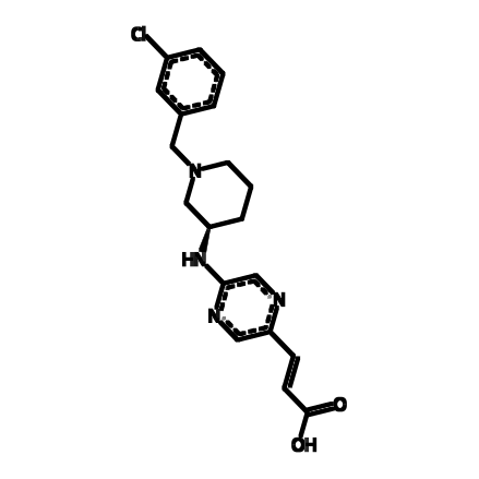 O=C(O)/C=C/c1cnc(N[C@@H]2CCCN(Cc3cccc(Cl)c3)C2)cn1